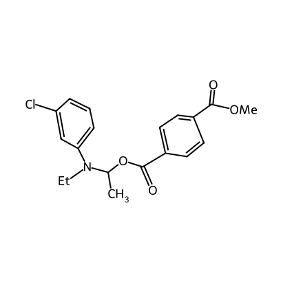 CCN(c1cccc(Cl)c1)C(C)OC(=O)c1ccc(C(=O)OC)cc1